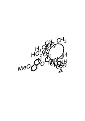 CC[C@@H]1C[C@@H](C)CC/C=C\[C@@H]2C[C@@]2(C(=O)NS(=O)(=O)C2CC2)NC(=O)[C@@H]2C[C@@H](Oc3nccc4c(OC)cccc34)CN2C(=O)[C@H]1N(C(=O)O)C(C)(C)C(F)(F)F